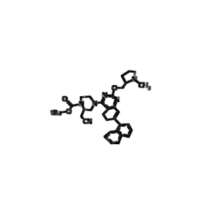 CN1CCCC1COc1nc2c(c(N3CCN(C(=O)OC(C)(C)C)C(CC#N)C3)n1)CCC(c1cccc3ccccc13)=C2